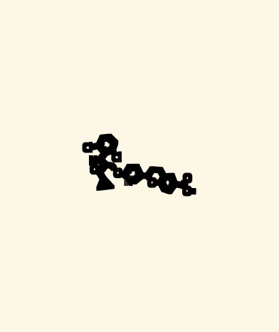 COC(=O)c1ccc2c(c1)CCC(c1ccc(OCc3c(-c4c(Cl)cccc4Cl)noc3C3CC3)nc1)O2